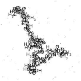 C=C1OCc2c(cc3n(c2=O)Cc2c-3nc3cc(F)c(OCNC(=O)OCc4ccc(O[C@@H]5O[C@H](C(=O)O)[C@@H](O)[C@H](O)[C@H]5O)c(NC(=O)CN(C)C(=O)CCNC(=O)CN(CCN5C(=O)C=CC5=O)CC(=O)N[C@H](C(=O)N[C@@H](C)C(=O)Nc5ccc(COC(=O)NCOc6cc7c(CC)c8c(nc7cc6F)-c6cc7c(c(=O)n6C8)COC(=O)[C@]7(O)CC)cc5)C(C)C)c4)cc3c2CC)[C@@]1(O)CC